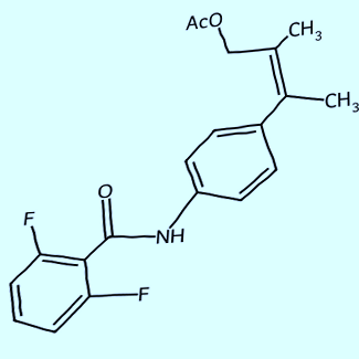 CC(=O)OC/C(C)=C(/C)c1ccc(NC(=O)c2c(F)cccc2F)cc1